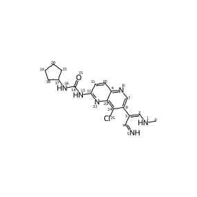 CN/C=C(\C=N)c1cnc2ccc(NC(=O)NC3CCCC3)nc2c1Cl